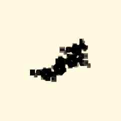 Cc1ccc(Nc2ccc3c(c2)ncn3-c2ccc(C(C)O)c(-n3nc(C(F)F)cc3C)n2)nn1